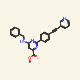 COC(=O)c1cc(NCc2ccccc2)nc(-c2ccc(C#Cc3cccnc3)cc2)n1